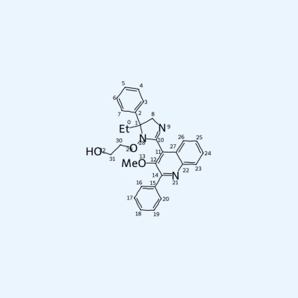 CCC1(c2ccccc2)CN=C(c2c(OC)c(-c3ccccc3)nc3ccccc23)N1OCCO